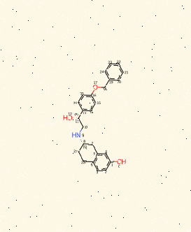 Oc1ccc2c(c1)C[C@@H](NC[C@H](O)c1ccc(OCc3ccccc3)cc1)CC2